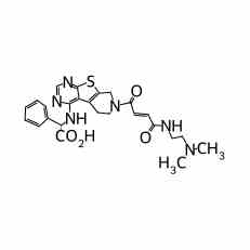 CN(C)CCNC(=O)/C=C/C(=O)N1CCc2c(sc3ncnc(N[C@H](C(=O)O)c4ccccc4)c23)C1